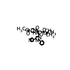 CCOC(=O)N1CCN(C(=O)[C@H](CCC(=O)OC(C)(C)C)NC(=O)c2cc(-c3ccncc3)nc(-c3ccccc3)n2)CC1